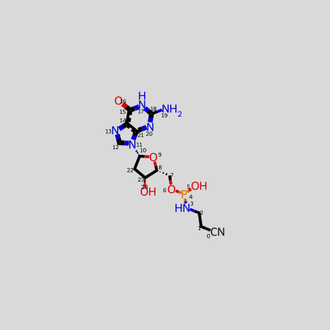 N#CCCNP(O)OC[C@H]1O[C@@H](n2cnc3c(=O)[nH]c(N)nc32)C[C@@H]1O